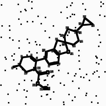 C[C@H]1CC=C(c2ccc3c(c2)CC2(CCN(C4CC4)CC2)O3)N(C(=O)OC(C)(C)C)C1